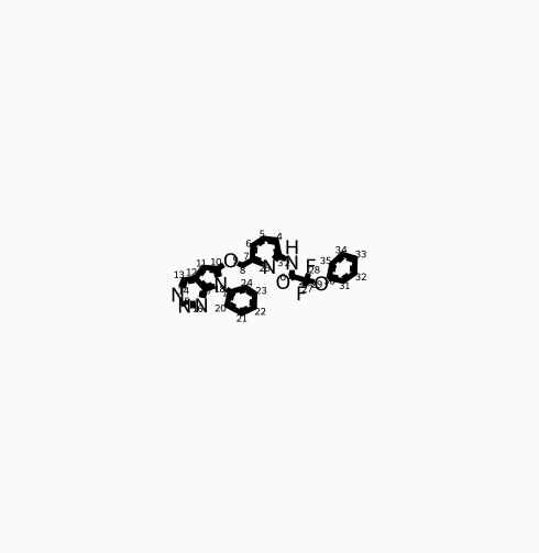 O=C(Nc1cccc(COc2cc3cnnnc3n2-c2ccccc2)n1)C(F)(F)Oc1ccccc1